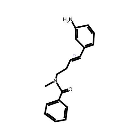 CN(CC/C=C/c1cccc(N)c1)C(=O)c1ccccc1